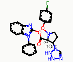 CCCCCCCC[C@@]1(C(=O)Oc2nc3ccccc3n2-c2ccccc2)C(N2C=NNN2)CCN1Oc1ccc(F)cc1